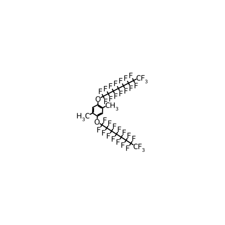 Cc1cc(OC(F)(F)C(F)(F)C(F)(F)C(F)(F)C(F)(F)C(F)(F)C(F)(F)C(F)(F)F)c(C)cc1OC(F)(F)C(F)(F)C(F)(F)C(F)(F)C(F)(F)C(F)(F)C(F)(F)C(F)(F)F